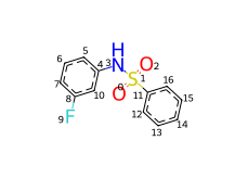 O=S(=O)(Nc1cccc(F)c1)c1ccccc1